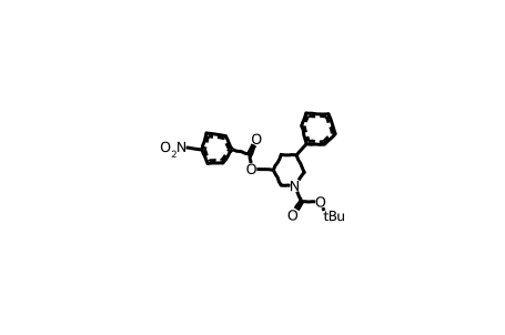 CC(C)(C)OC(=O)N1CC(OC(=O)c2ccc([N+](=O)[O-])cc2)CC(c2ccccc2)C1